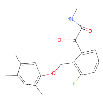 CNC(=O)C(=O)c1cccc(F)c1COc1cc(C)c(C)cc1C